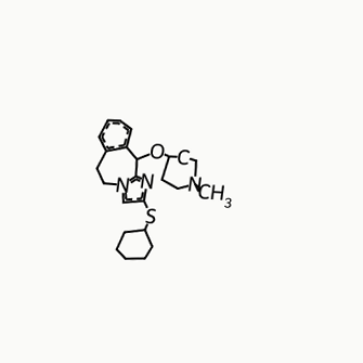 CN1CCC(OC2c3ccccc3CCn3cc(SC4CCCCC4)nc32)CC1